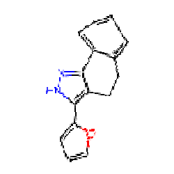 c1coc(-c2[nH]nc3c2CCc2ccccc2-3)c1